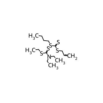 C=CCSC(=S)SCCCC.CCSC(=S)N(CC)CC